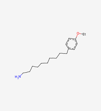 CCOc1ccc(CCCCCCCCCCN)cc1